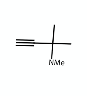 C#CC(C)(C)N[CH2]